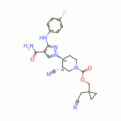 N#CCC1(COC(=O)N2CC[C@H](n3cc(C(N)=O)c(Nc4ccc(F)cc4)n3)[C@@H](C#N)C2)CC1